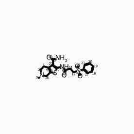 CN1CCc2c(sc(NC(=O)CCS(=O)(=O)c3ccccc3)c2C(N)=O)C1